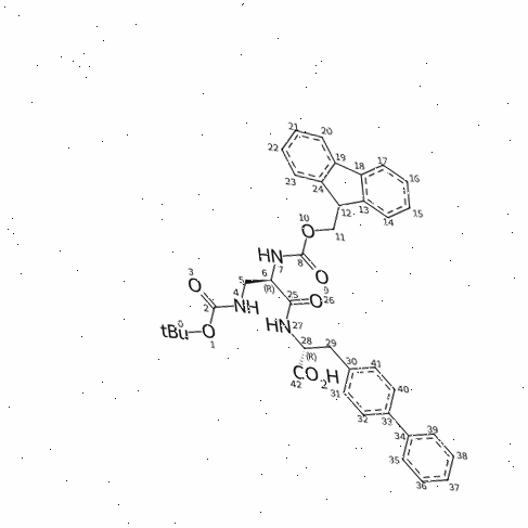 CC(C)(C)OC(=O)NC[C@@H](NC(=O)OCC1c2ccccc2-c2ccccc21)C(=O)N[C@H](Cc1ccc(-c2ccccc2)cc1)C(=O)O